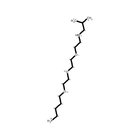 CC(C)CNCCOCCOCCOCCCCP